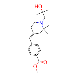 COC(=O)c1ccc(/C=C2/CCN(CC(C)(C)O)C(C)(C)C2)cc1